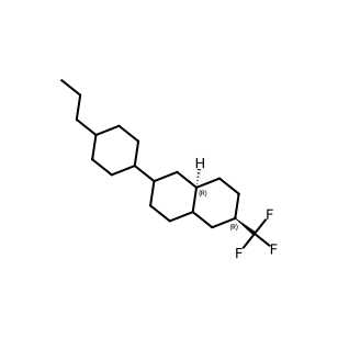 CCCC1CCC(C2CCC3C[C@H](C(F)(F)F)CC[C@@H]3C2)CC1